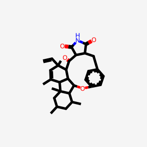 C=CC1(C)C=C(C)C2C3C(Oc4ccc(cc4)CC4C(=O)NC(=O)C4C(=O)C31)C1C(C)CC(C)CC21C